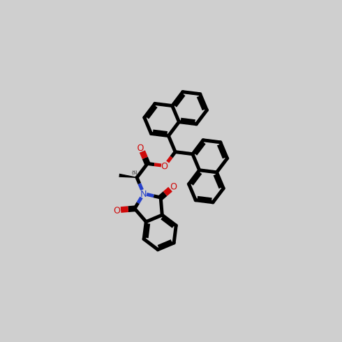 C[C@@H](C(=O)OC(c1cccc2ccccc12)c1cccc2ccccc12)N1C(=O)c2ccccc2C1=O